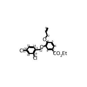 C=CCOc1ccc(C(=O)OCC)cc1OCc1ccc(Cl)cc1Cl